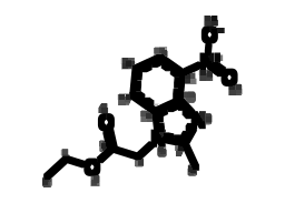 CCOC(=O)Cn1c(C)nc2c([N+](=O)[O-])cccc21